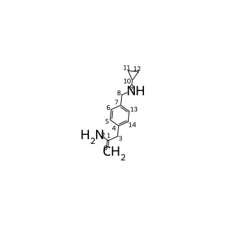 C=C(N)Cc1ccc(CNC2CC2)cc1